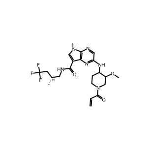 C=CC(=O)N1CCC(Nc2cnc3[nH]cc(C(=O)NC[C@H](C)CC(F)(F)F)c3n2)C(OC)C1